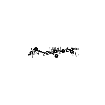 C=C(CCCC)C1=C(CN2CCN(c3ccc(C(=O)NS(=O)(=O)c4ccc(N[C@H](CCN5CCN(C(=O)CCCCCNc6cccc7c6C(=O)N(C6CCC(=O)NC6=O)C7=O)CC5)CSc5ccccc5)c(S(=O)(=O)C(F)(F)F)c4)cc3)CC2)CCC(C)(C)C1